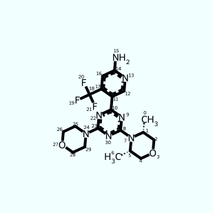 C[C@@H]1COC[C@H](C)N1c1nc(-c2cnc(N)cc2C(F)(F)F)nc(N2CCOCC2)n1